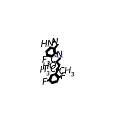 CC(C)(CC(O)(/C=N\c1cccc2[nH]ncc12)C(F)(F)F)c1cc(F)ccc1F